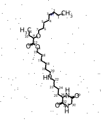 CC/C=C\CCCCOC(CC)C(=O)OCCCCCCNCCCCC1NC(=O)CNC1=O